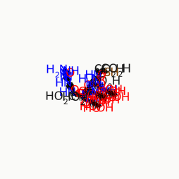 Nc1nc2ncc(CNc3ccc(C(=O)N[C@@H](CCC(=O)C[C@@H](CCC(=O)NC[C@H](O)[C@@H](O)[C@H](O)[C@H](O)CO)C(=O)N[C@@H](CCC(=O)O)C(=O)C[C@@H](CCC(=O)NC[C@H](O)[C@@H](O)[C@H](O)[C@H](O)CO)C(=O)N[C@@H](CCC(=O)O)C(=O)C[C@@H](CCC(=O)NC[C@H](O)[C@@H](O)[C@H](O)[C@H](O)CO)C(=O)NC[C@H](N)C(=O)N[C@@H](CC(=O)O)C(=O)C[C@@H](CS)C(=O)O)C(=O)O)cc3)nc2c(=O)[nH]1